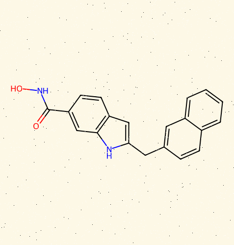 O=C(NO)c1ccc2cc(Cc3ccc4ccccc4c3)[nH]c2c1